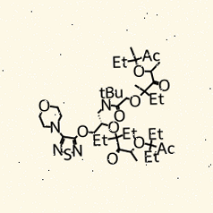 CCC(C)(OC(C)C(=O)C(C)(CC)OCC(=O)N(C[C@@H](COc1nsnc1N1CCOCC1)OC(CC)(CC)C(=O)C(C)OC(CC)(CC)C(C)=O)C(C)(C)C)C(C)=O